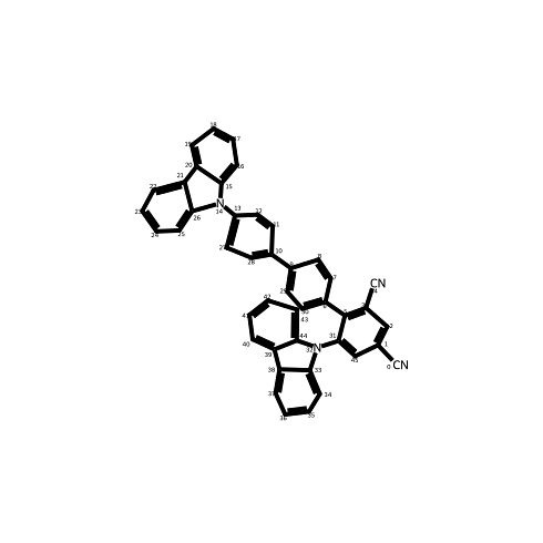 N#Cc1cc(C#N)c(-c2ccc(-c3ccc(-n4c5ccccc5c5ccccc54)cc3)cc2)c(-n2c3ccccc3c3ccccc32)c1